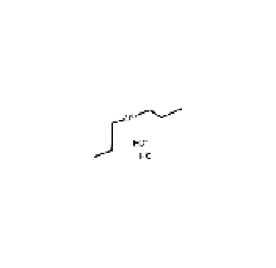 CC[CH2][Zr+2][CH2]CC.[OH-].[OH-]